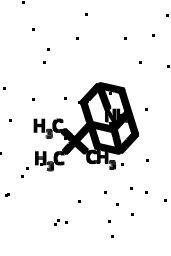 CC(C)(C)C12CC3CC(C1)NC(C3)C2